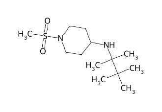 CC(C)(C)C(C)(C)NC1CCN(S(C)(=O)=O)CC1